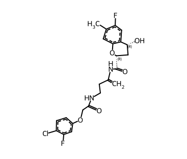 C=C(CCNC(=O)COc1ccc(Cl)c(F)c1)NC(=O)[C@H]1C[C@@H](O)c2cc(F)c(C)cc2O1